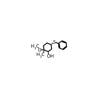 CO[C@]1(C)CC[C@@H](Sc2ccccc2)C[C@H]1O